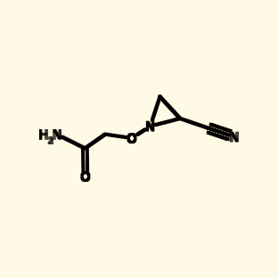 N#CC1CN1OCC(N)=O